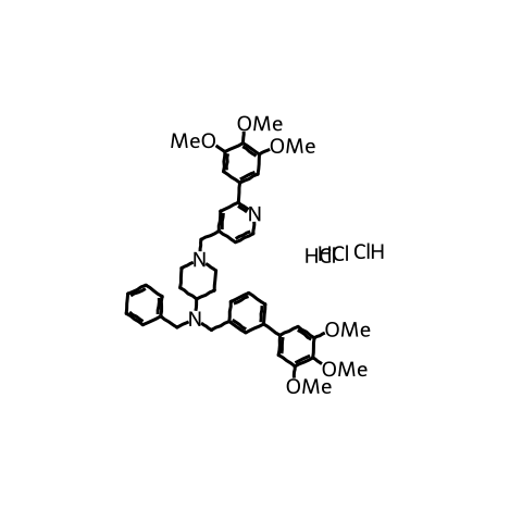 COc1cc(-c2cccc(CN(Cc3ccccc3)C3CCN(Cc4ccnc(-c5cc(OC)c(OC)c(OC)c5)c4)CC3)c2)cc(OC)c1OC.Cl.Cl.Cl